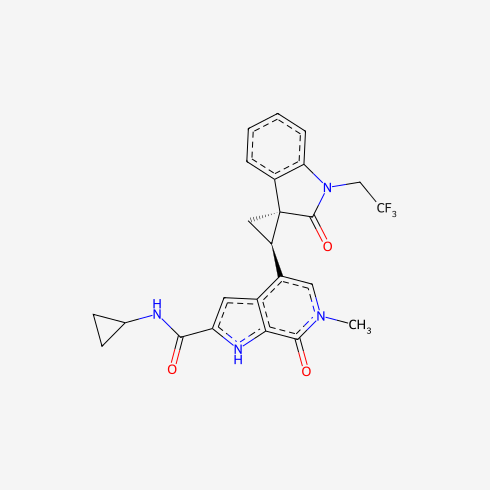 Cn1cc([C@H]2C[C@]23C(=O)N(CC(F)(F)F)c2ccccc23)c2cc(C(=O)NC3CC3)[nH]c2c1=O